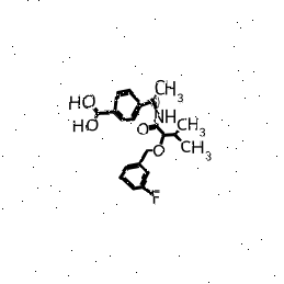 CC(C)C(OCc1cccc(F)c1)C(=O)N[C@@H](C)c1ccc(C(O)O)cc1